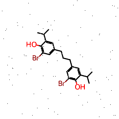 CC(C)c1cc(CCCc2cc(Br)c(O)c(C(C)C)c2)cc(Br)c1O